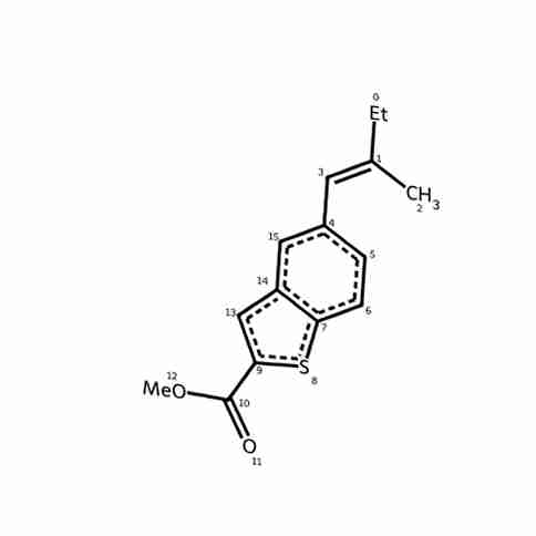 CC/C(C)=C/c1ccc2sc(C(=O)OC)cc2c1